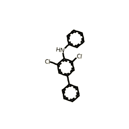 Clc1cc(-c2ccccc2)cc(Cl)c1Nc1ccccc1